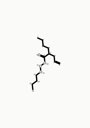 C=CCC(CCCC)C(=O)OOOCCCC